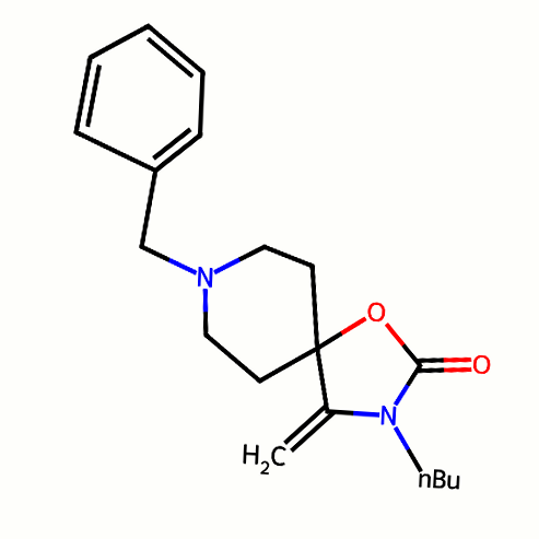 C=C1N(CCCC)C(=O)OC12CCN(Cc1ccccc1)CC2